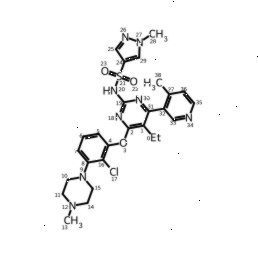 CCc1c(Oc2cccc(N3CCN(C)CC3)c2Cl)nc(NS(=O)(=O)c2cnn(C)c2)nc1-c1cnccc1C